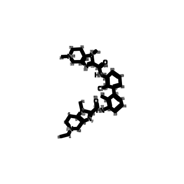 CCN1CCc2c(nc(C(=O)Nc3cccc(-c4cccc(NC(=O)c5nc6c(n5C)CCN(C)C6)c4Cl)c3C)n2C)C1